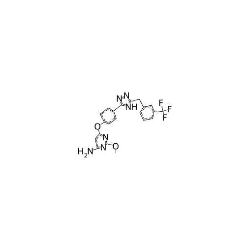 COc1nc(N)cc(Oc2ccc(-c3nnc(Cc4cccc(C(F)(F)F)c4)[nH]3)cc2)n1